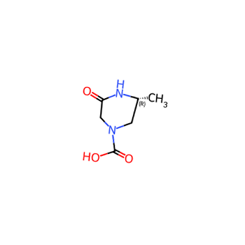 C[C@@H]1CN(C(=O)O)CC(=O)N1